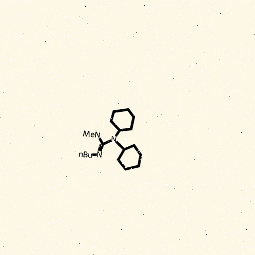 CCCC/N=C(\NC)N(C1CCCCC1)C1CCCCC1